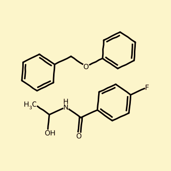 CC(O)NC(=O)c1ccc(F)cc1.c1ccc(COc2ccccc2)cc1